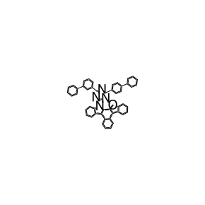 c1ccc(-c2ccc(-c3nc(-c4cccc(-c5ccccc5)c4)nc(-n4c5ccccc5c5c6ccccc6c6c7ccccc7oc6c54)n3)cc2)cc1